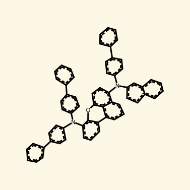 c1ccc(-c2ccc(N(c3ccc(-c4ccccc4)cc3)c3cccc4c3Oc3ccc(N(c5ccc(-c6ccccc6)cc5)c5ccc6ccccc6c5)c5cccc-4c35)cc2)cc1